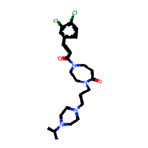 CC(C)N1CCN(CCCN2CCN(C(=O)/C=C/c3ccc(Cl)c(Cl)c3)CCC2=O)CC1